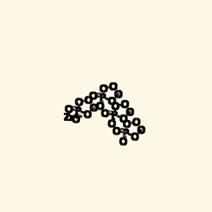 O=P1([O-])OOOO1.O=P1([O-])OOOO1.O=P1([O-])OOOO1.O=P1([O-])OOOO1.[Zr+4]